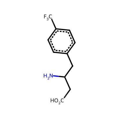 NC(CC(=O)O)Cc1ccc(C(F)(F)F)cc1